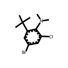 CN(C)c1c(Cl)cc(Br)cc1C(C)(C)C